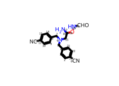 N#Cc1ccc(CN(Cc2ccc(C#N)cc2)CC(N)ONC=O)cc1